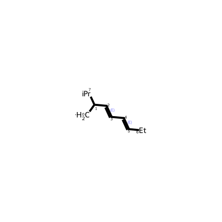 [CH2]C(/C=C/C=C/CC)C(C)C